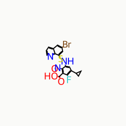 O=Nc1c(NSc2cc(Br)cc3cccnc23)cc(C2CC2)c(F)c1C(=O)O